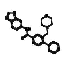 O=C(Nc1ccc2scnc2c1)c1ccc(-c2ccccc2)c(CN2CCOCC2)c1